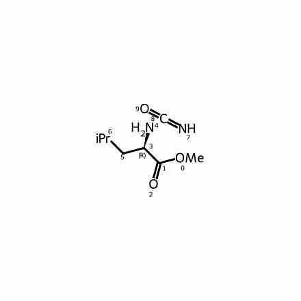 COC(=O)[C@H](N)CC(C)C.N=C=O